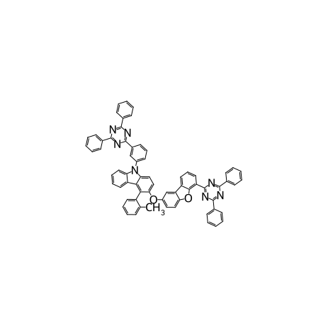 Cc1ccccc1-c1c(Oc2ccc3oc4c(-c5nc(-c6ccccc6)nc(-c6ccccc6)n5)cccc4c3c2)ccc2c1c1ccccc1n2-c1cccc(-c2nc(-c3ccccc3)nc(-c3ccccc3)n2)c1